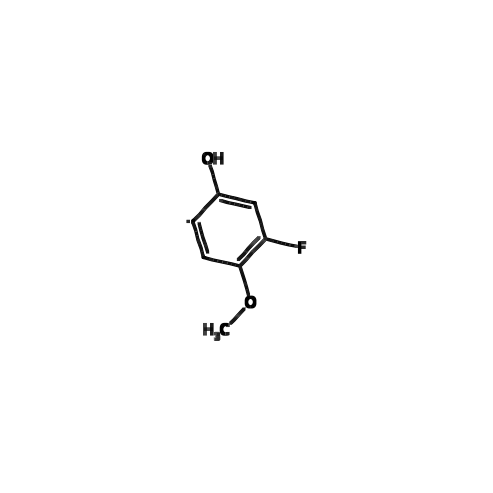 COc1c[c]c(O)cc1F